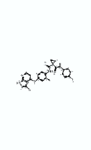 Cc1cc(Oc2ccnc3[nH]nc(C)c23)ccc1NC(=O)C1(C(=O)Nc2ccc(F)cc2)CC1